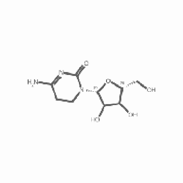 NC1=NC(=O)N([C@@H]2O[C@H](CO)C(O)C2O)CC1